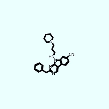 N#Cc1ccc2c3cnc(Cc4ccccc4)nc3n(NCCCN3CCCCC3)c2c1